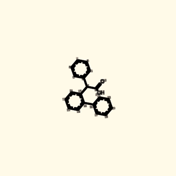 O=C(O)C(c1ccccc1)c1ccccc1-c1ccccc1